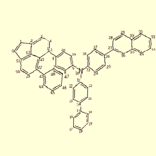 C1=Cc2ccc(-c3ccc(N(c4ccc(-c5ccccc5)cc4)c4ccc(-c5ccc6ccccc6c5)cc4)cc3)c3c(-c4ccccc4)ccc1c23